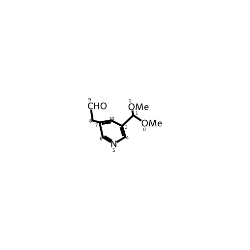 COC(OC)c1cncc(CC=O)c1